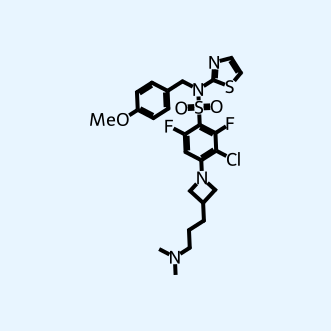 COc1ccc(CN(c2nccs2)S(=O)(=O)c2c(F)cc(N3CC(CCCN(C)C)C3)c(Cl)c2F)cc1